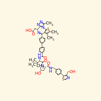 Cc1sc2c(c1C)C(c1ccc(-c3ccc(C(=O)NC(C(=O)N4C[C@H](O)C[C@H]4C(=O)NCc4ccc(-c5scnc5CO)cc4)C(C)(C)C)cc3)cc1)=N[C@@H](CC(=O)O)c1nnc(C)n1-2